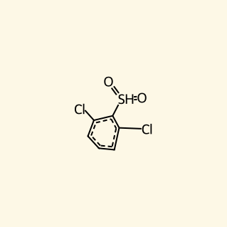 O=[SH](=O)c1c(Cl)cccc1Cl